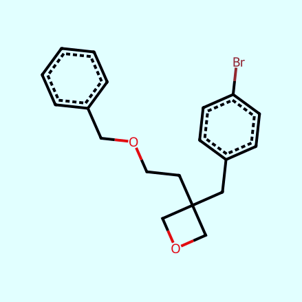 Brc1ccc(CC2(CCOCc3ccccc3)COC2)cc1